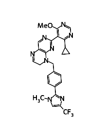 COc1ncnc(C2CC2)c1-c1ncc2c(n1)N(Cc1ccc(-c3nc(C(F)(F)F)cn3C)cc1)CC=N2